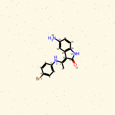 CC(Nc1ccc(Br)cc1)=C1C(=O)Nc2ccc(N)cc21